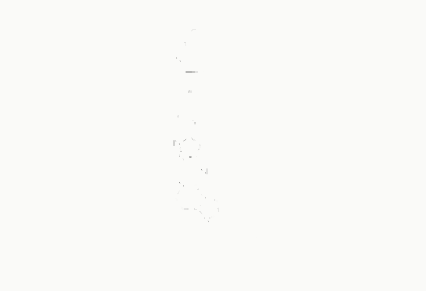 O=C(NC12CC(C1)C2)O[C@@H]1CC[C@H](c2cc(Nc3nccc4nc(OCC(F)F)cn34)n[nH]2)[C@@H]1F